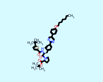 CCCCCCCOc1ccc(-c2cnc(-c3ccc(C[C@H](NC(=O)c4ccc(C(C)(C)C)s4)C(=O)N4CCCC4C(=O)OC(C)(C)C)cc3)nc2)cc1